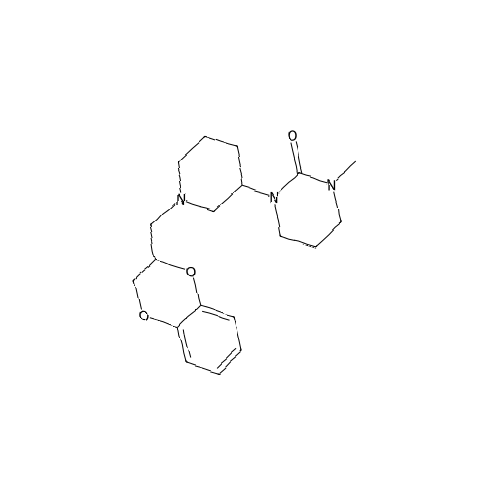 CN1CCCN(C2CCCN(CC3COc4ccccc4O3)C2)C1=O